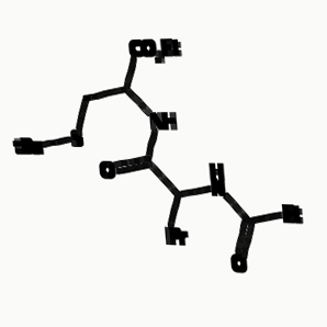 CCOC(=O)C(CSC(C)(C)C)NC(=O)C(NC(=O)CC)C(C)C